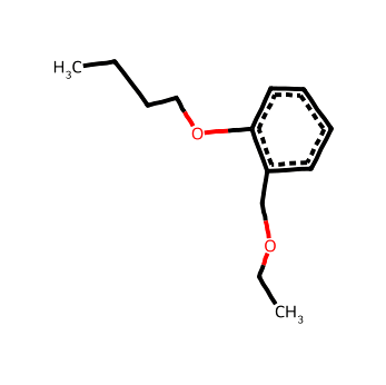 CCCCOc1ccccc1COCC